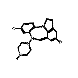 CN1CCN(N2C=C3C=C(Br)CC4=C3N(CC4)c3ccc(Cl)cc32)CC1